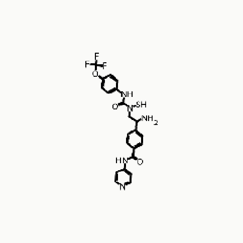 NC(CN(S)C(=O)Nc1ccc(OC(F)(F)F)cc1)c1ccc(C(=O)Nc2ccncc2)cc1